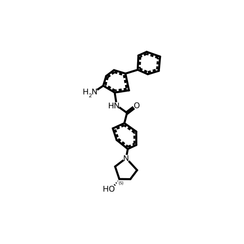 Nc1ccc(-c2ccccc2)cc1NC(=O)c1ccc(N2CC[C@H](O)C2)cc1